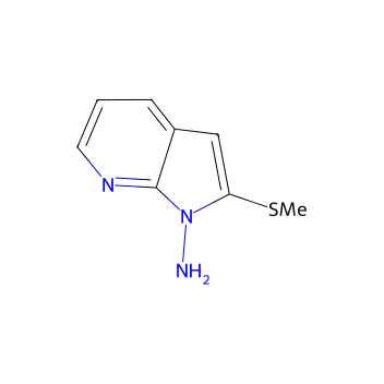 CSc1cc2cccnc2n1N